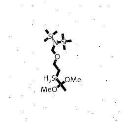 COC(C)(OC)[SiH2]CCOCN([Si](C)(C)C)[Si](C)(C)C